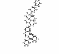 C1=CC2=C(c3ccc4ccc5c(-c6ccccc6)c6ccccc6nc5c4n3)C=CC3=CC=C4C(c5ccc(-c6ccccn6)nc5)=CC=C1C4C32